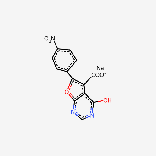 O=C([O-])c1c(-c2ccc([N+](=O)[O-])cc2)oc2ncnc(O)c12.[Na+]